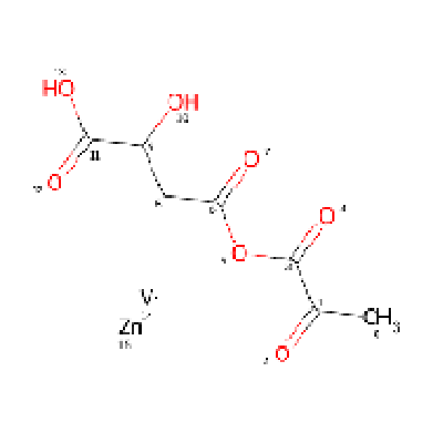 CC(=O)C(=O)OC(=O)CC(O)C(=O)O.[V].[Zn]